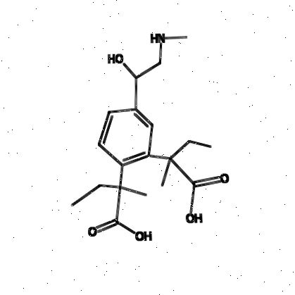 CCC(C)(C(=O)O)c1ccc(C(O)CNC)cc1C(C)(CC)C(=O)O